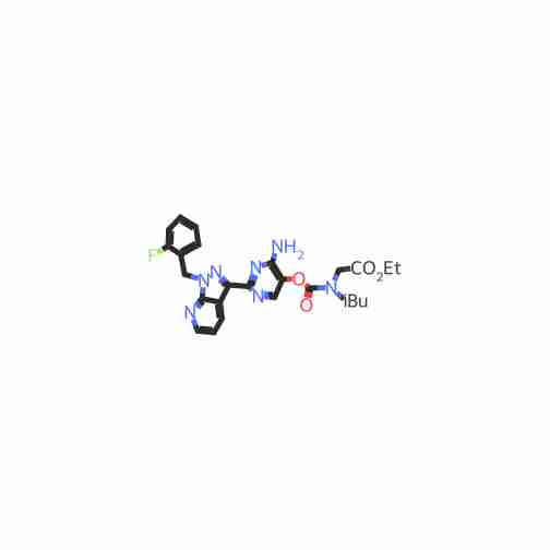 CCOC(=O)CN(C(=O)Oc1cnc(-c2nn(Cc3ccccc3F)c3ncccc23)nc1N)C(C)CC